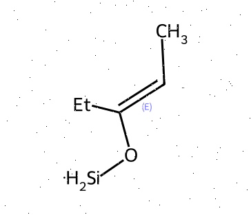 C/C=C(\CC)O[SiH2]